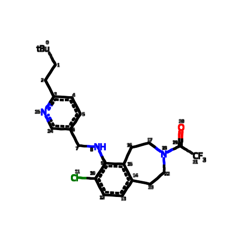 CC(C)(C)CCc1ccc(CNc2c(Cl)ccc3c2CCN(C(=O)C(F)(F)F)CC3)cn1